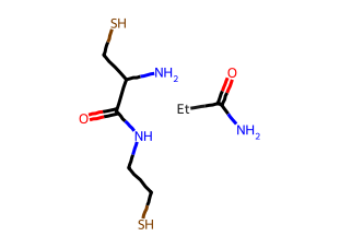 CCC(N)=O.NC(CS)C(=O)NCCS